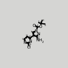 CC(C)(C)OC(=O)n1cc(-c2ccnc(Cl)n2)c(N)n1